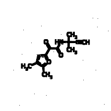 C#CC(C)(C)NC(=O)C(=O)c1cc(C)c(C)o1